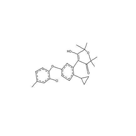 Cc1ccc(Oc2ccc(C3CC3)c(C3=C(O)C(C)(C)OC(C)(C)C3=O)c2)c(Cl)c1